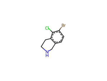 Clc1c(Br)ccc2c1CCNC2